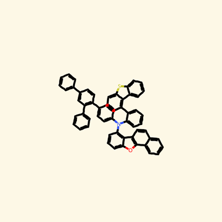 c1ccc(-c2ccc(-c3ccc(N(c4ccccc4-c4cccc5sc6ccccc6c45)c4cccc5oc6c7ccccc7ccc6c45)cc3)c(-c3ccccc3)c2)cc1